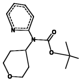 CC(C)(C)OC(=O)N(c1ccccn1)C1CCOCC1